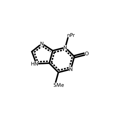 CCCn1c(=O)nc(SC)c2[nH]cnc21